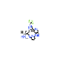 C#C[C@@]1(C)CNCCN(c2cccc(-n3ncc4cnc(-c5cnn(CC(F)(F)F)c5)cc43)n2)C1